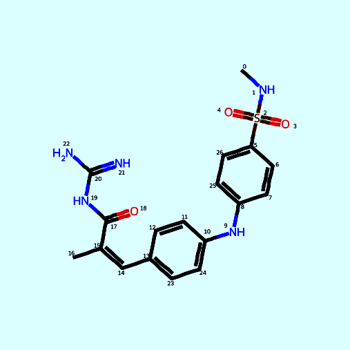 CNS(=O)(=O)c1ccc(Nc2ccc(C=C(C)C(=O)NC(=N)N)cc2)cc1